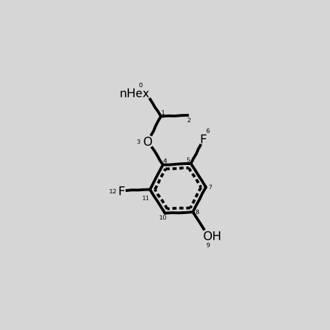 CCCCCCC(C)Oc1c(F)cc(O)cc1F